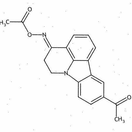 CC(=O)O/N=C1\CCn2c3ccc(C(C)=O)cc3c3cccc1c32